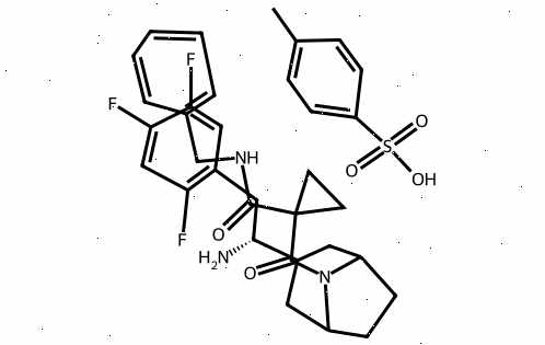 Cc1ccc(S(=O)(=O)O)cc1.N[C@H](Cc1cc(F)c(F)cc1F)C1CC2CCC(C1)N2C(=O)C1(C(=O)NCc2ccccc2)CC1